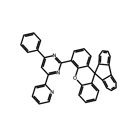 c1ccc(-c2cc(-c3ccccn3)nc(-c3cccc4c3Oc3ccccc3C43c4ccccc4-c4ccccc43)n2)cc1